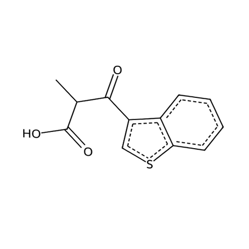 CC(C(=O)O)C(=O)c1csc2ccccc12